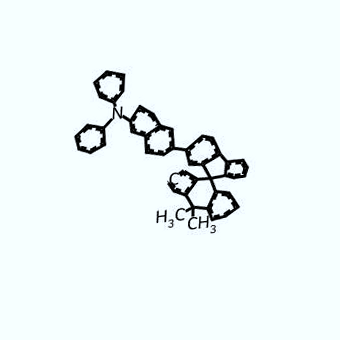 CC1(C)c2ccccc2C2(c3ccccc3-c3ccc(-c4ccc5cc(N(c6ccccc6)c6ccccc6)ccc5c4)cc32)c2ccccc21